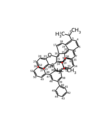 CC(C)c1ccc2ccc3c(C(C)C)c4c(c5ccc1c2c53)Oc1ccccc1B4c1c(-c2ccccc2)cc(-c2ccccc2)cc1-c1ccccc1